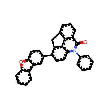 O=c1c2cccc3c2c2c(c(-c4ccc5oc6ccccc6c5c4)ccc2n1-c1ccccc1)C3